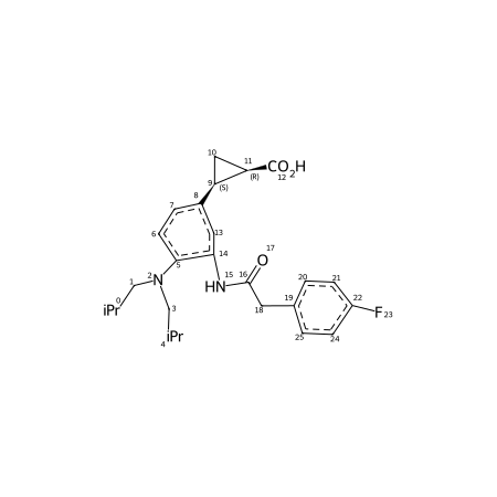 CC(C)CN(CC(C)C)c1ccc([C@H]2C[C@H]2C(=O)O)cc1NC(=O)Cc1ccc(F)cc1